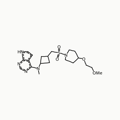 COCCOC1CCN(S(=O)(=O)CC2CC(N(C)c3ncnc4[nH]ccc34)C2)CC1